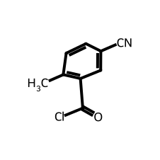 Cc1ccc(C#N)cc1C(=O)Cl